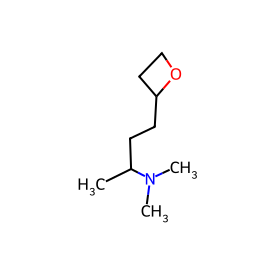 CC(CCC1CCO1)N(C)C